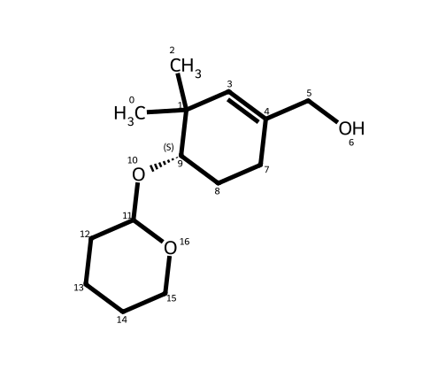 CC1(C)C=C(CO)CC[C@@H]1OC1CCCCO1